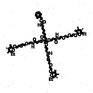 CCC1O[C@@H](OCCOCCOCCNC(=O)CCOCC(COCCCNCCOCCOCCO[C@H]2OC(CC)[C@@H](C)[C@H](C)C2C)(COCCC(=O)NCCOCCOCCO[C@H]2OC(CC)[C@@H](C)[C@H](C)C2C)CC(=O)CCCCCNC(=O)OCc2ccccc2)C(C)[C@@H](C)[C@@H]1C